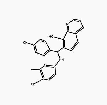 Cc1nc(NC(c2ccc(Cl)cc2)c2ccc3cccnc3c2O)ccc1Cl